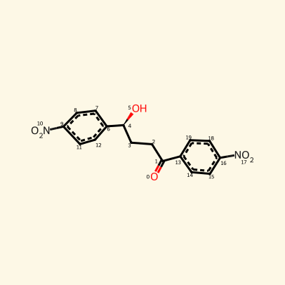 O=C(CC[C@H](O)c1ccc([N+](=O)[O-])cc1)c1ccc([N+](=O)[O-])cc1